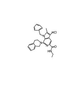 CCNC(=O)c1cc2c(C)c(C)n(Cc3ccccc3)c2c(N2CCc3ccccc3C2)n1.Cl